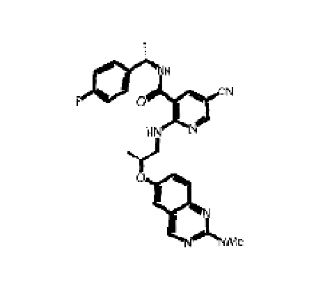 CNc1ncc2cc(O[C@@H](C)CNc3ncc(C#N)cc3C(=O)N[C@@H](C)c3ccc(F)cc3)ccc2n1